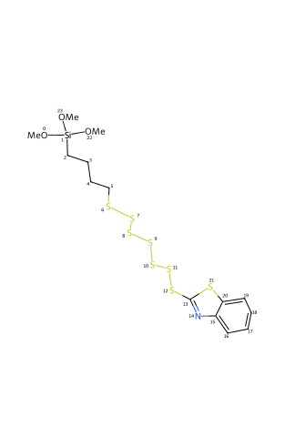 CO[Si](CCCCSSSSSSSc1nc2ccccc2s1)(OC)OC